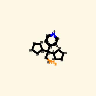 PCC(c1ccncc1)(C1CCCC1)C1CCCC1